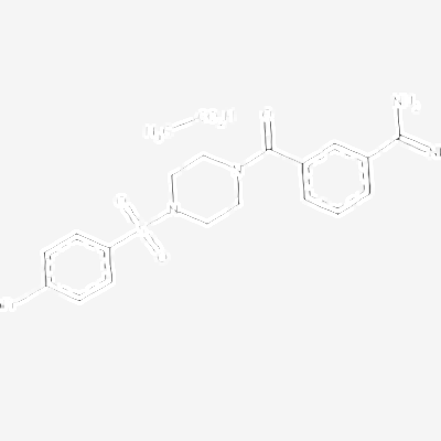 CC(=O)O.CCCc1ccc(S(=O)(=O)N2CCN(C(=O)c3cccc(C(=N)N)c3)CC2)cc1